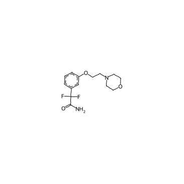 NC(=O)C(F)(F)c1cccc(OCCN2CCOCC2)c1